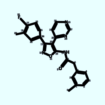 Cc1cccc(CC(=O)Nc2onc(-c3ccc(F)c(C)c3)c2-c2ccncn2)c1